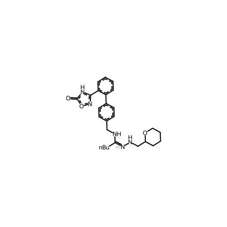 CCCC/C(=N/NCC1CCCCO1)NCc1ccc(-c2ccccc2-c2noc(=O)[nH]2)cc1